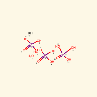 O.O=P(O)(O)O.O=P(O)(O)O.O=P(O)(O)O.[KH]